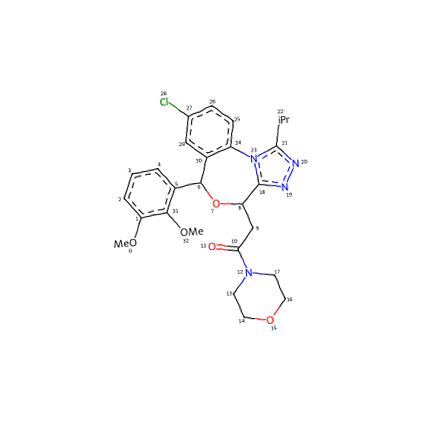 COc1cccc(C2OC(CC(=O)N3CCOCC3)c3nnc(C(C)C)n3-c3ccc(Cl)cc32)c1OC